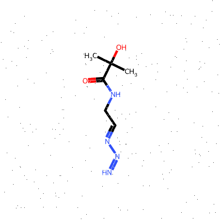 CC(C)(O)C(=O)NCC=NN=N